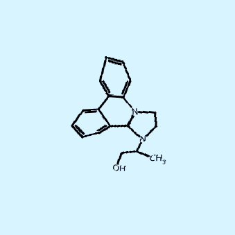 CC(CO)N1CCN2c3ccccc3-c3ccccc3C21